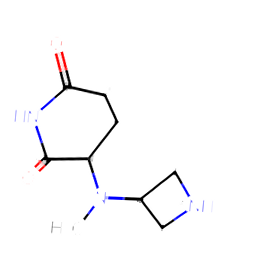 CN(C1CNC1)C1CCC(=O)NC1=O